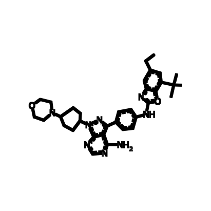 CCc1cc(C(C)(C)C)c2oc(Nc3ccc(-c4nn(C5CCC(N6CCOCC6)CC5)c5ncnc(N)c45)cc3)nc2c1